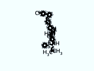 CN(C)CC[C@H](CSc1ccccc1)Nc1ccc(S(=O)(=O)Nc2ncnc3cc(N4CCN(Cc5ccccc5-c5ccc(Cl)cc5)CC4)ccc23)cc1F